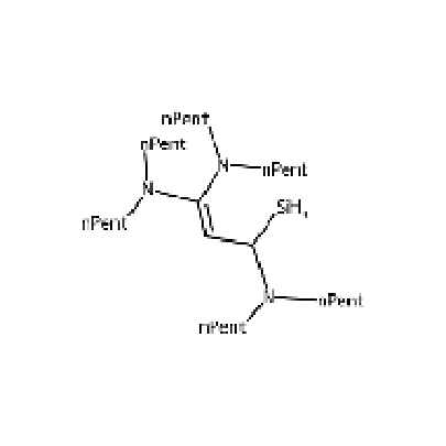 CCCCCN(CCCCC)C(=CC([SiH3])N(CCCCC)CCCCC)N(CCCCC)CCCCC